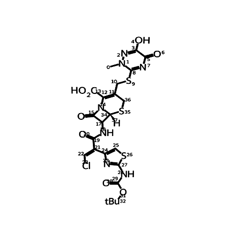 Cn1nc(O)c(=O)nc1SCC1=C(C(=O)O)N2C(=O)C(NC(=O)/C(=C/Cl)c3csc(NC(=O)OC(C)(C)C)n3)[C@H]2SC1